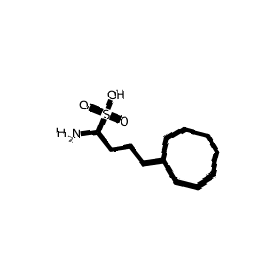 NC(CCCC1CCCCCCC1)S(=O)(=O)O